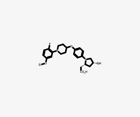 CCOc1ccc(F)c(N2CCC(Oc3ccc(N4C[C@H](O)C[C@@H]4CC(=O)O)cc3)CC2)c1